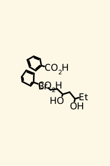 CCC(O)CC(O)CCBr.O=C(O)c1ccccc1.O=C(O)c1ccccc1